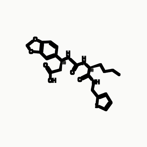 CCCC[C@H](NC(=O)N[C@@H](CC(=O)O)c1ccc2c(c1)OCO2)C(=O)NCc1cccs1